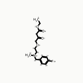 CCOC(=O)CC(=O)COCCN(C)Cc1ccc(F)cc1